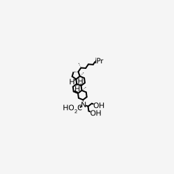 CC(C)CCC[C@@H](C)[C@H]1CC[C@H]2[C@@H]3CC=C4C[C@@H](N(C(=O)O)C(CO)CO)CC[C@]4(C)[C@H]3CC[C@]12C